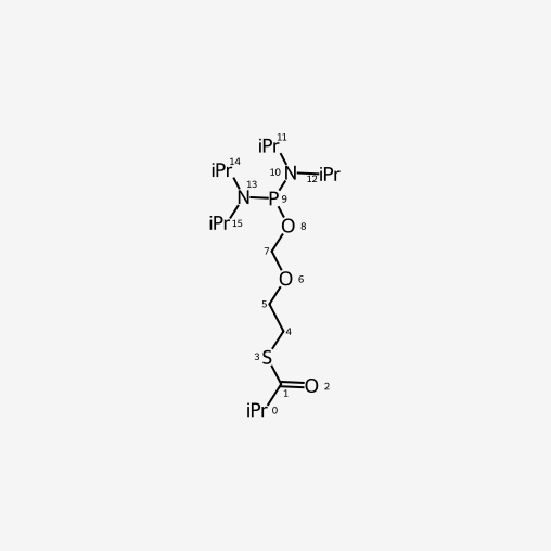 CC(C)C(=O)SCCOCOP(N(C(C)C)C(C)C)N(C(C)C)C(C)C